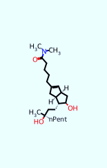 CCCCC[C@@](C)(O)CC[C@@H]1[C@H]2CC(CCCCC(=O)N(C)C)=C[C@H]2C[C@H]1O